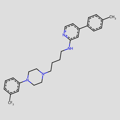 Cc1ccc(-c2ccnc(NCCCCN3CCN(c4cccc(C(F)(F)F)c4)CC3)c2)cc1